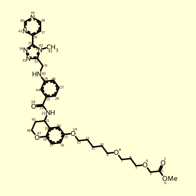 COC(=O)COCCCOCCCCCOc1ccc2c(c1)C(NC(=O)c1cccc(NCc3nnc(-c4ccncn4)n3C)c1)CCO2